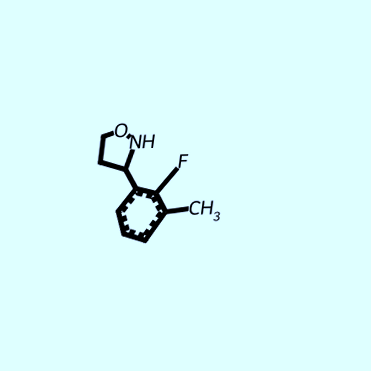 Cc1cccc(C2CCON2)c1F